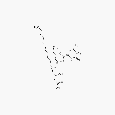 CCCCCCCCCCC[C@@H](C[C@@H](O)CC(=O)O)C[C@H](CCCC)OC(=O)[C@H](CC(C)C)NC=O